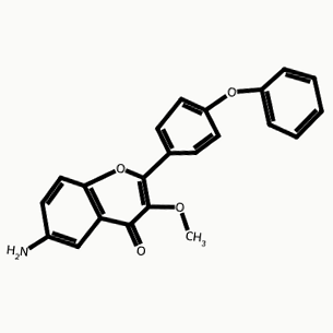 COc1c(-c2ccc(Oc3ccccc3)cc2)oc2ccc(N)cc2c1=O